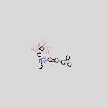 Bc1c(B)c(B)c(-c2cccc(-c3nc(-c4ccccc4)nc(-c4ccc5c(c4)oc4cc(-c6ccc7c8ccccc8c8ccccc8c7c6)ccc45)n3)c2)c(B)c1B